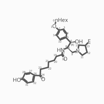 CCCCCCOc1ccc([C@@H](O)[C@@H](CN2CCC(F)C2)NC(=O)CCCCCC(=O)c2ccc(O)cc2)cc1